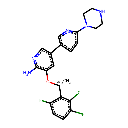 C[C@@H](Oc1cc(-c2ccc(N3CCNCC3)nc2)cnc1N)c1c(F)ccc(F)c1Cl